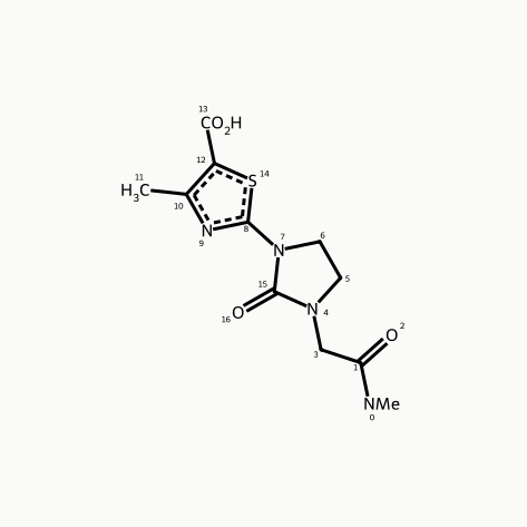 CNC(=O)CN1CCN(c2nc(C)c(C(=O)O)s2)C1=O